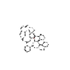 C=C/C=C\C1=CC[C@H]2CP(c3ccccc3P3Cc4ccc5ccccc5c4C4=c5ccccc5=CCC4C3)Cc3ccc4c(c3C2=C1C)=CCCC=4